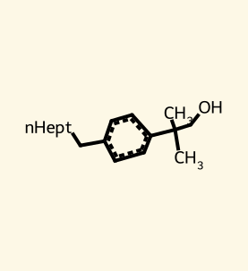 CCCCCCCCc1ccc(C(C)(C)CO)cc1